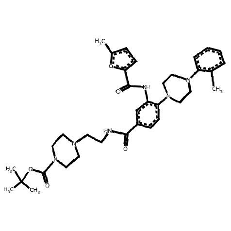 Cc1ccc(C(=O)Nc2cc(C(=O)NCCN3CCN(C(=O)OC(C)(C)C)CC3)ccc2N2CCN(c3ccccc3C)CC2)o1